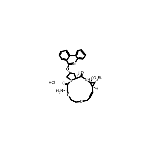 CCOC(=O)[C@@]12C[C@H]1/C=C\CCCCC[C@H](N)C(=O)N1C[C@H](Oc3nc4ccccc4c4ccccc34)C[C@H]1C(=O)N2.Cl